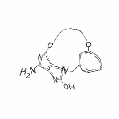 Nc1nc2cc3c1nc(O)n3Cc1cccc(c1)OCCCCCO2